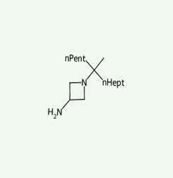 CCCCCCCC(C)(CCCCC)N1CC(N)C1